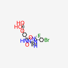 Cc1nc([C@H](C(C)C)N2C(=O)N[C@H](c3ccc(OC[C@@H](O)CO)cc3)C2=O)[nH]c1-c1ccc(Br)cc1F